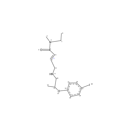 CCN(C)C(=O)/C=C/CNCC(C)Oc1ccc(I)cc1